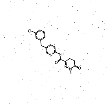 CN1N=C(C(=O)Nc2ccc(Cc3cccc(Cl)c3)cn2)CCC1=O